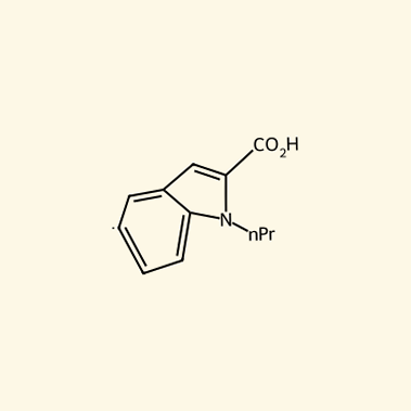 CCCn1c(C(=O)O)cc2c[c]ccc21